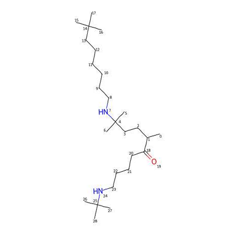 CC(CCC(C)(C)NCCCCCCC(C)(C)C)C(=O)CCCCNC(C)(C)C